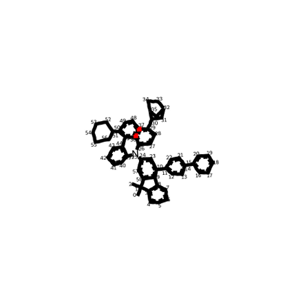 CC1(C)c2ccccc2-c2c(-c3ccc(-c4ccccc4)cc3)cc(N(c3ccc(C4CC5CCC4C5)cc3)c3ccccc3-c3ccccc3C3CCCCC3)cc21